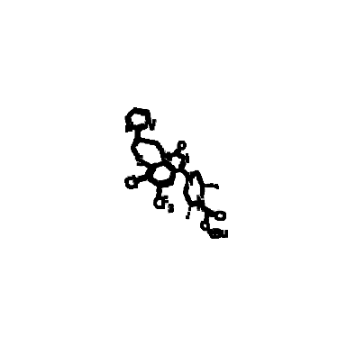 C[C@@H]1CN(c2nc(=O)n3c4c(c(Cl)c(C(F)(F)F)cc24)SCC(c2ncccn2)C3)C[C@H](C)N1C(=O)OC(C)(C)C